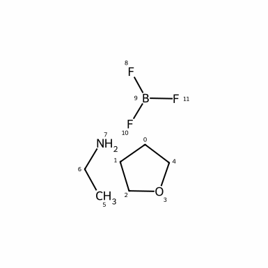 C1CCOC1.CCN.FB(F)F